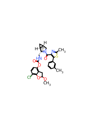 COC1Cc2c(OC(=O)NC[C@@H]3[C@H]4C[C@H]4CN3C(=O)c3nc(C)sc3-c3cccc(C)c3)ccc(Cl)c2O1